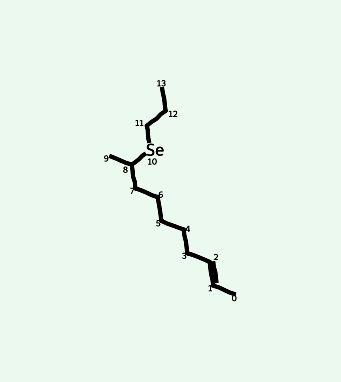 C/C=C/CCCCCC(C)[Se]CCC